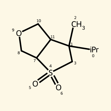 CC(C)C1(C)CS(=O)(=O)C2COCC21